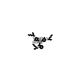 CCCCC(CC)COc1ccc(-c2nc(-c3ccc(OCC(CC)CCCC)c(C)c3O)nc(-c3cn(CC(CC)CCCC)c4ccccc34)n2)c(O)c1C